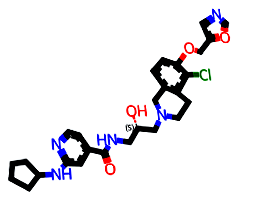 O=C(NC[C@H](O)CN1CCc2c(ccc(OCc3cnco3)c2Cl)C1)c1ccnc(NC2CCCC2)c1